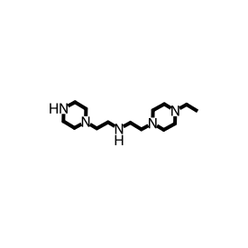 CCN1CCN(CCNCCN2CCNCC2)CC1